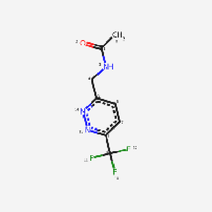 CC(=O)NCc1ccc(C(F)(F)F)nn1